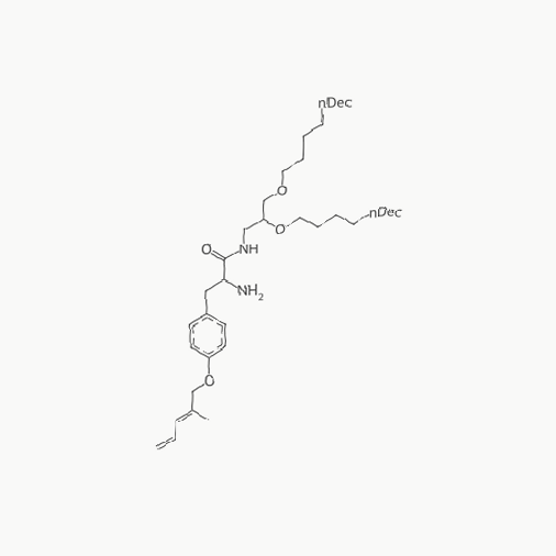 C=C/C=C(\C)COc1ccc(CC(N)C(=O)NCC(COCCCCCCCCCCCCCC)OCCCCCCCCCCCCCC)cc1